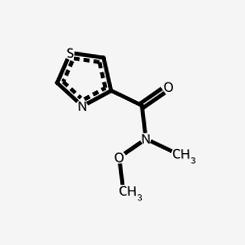 CON(C)C(=O)c1cscn1